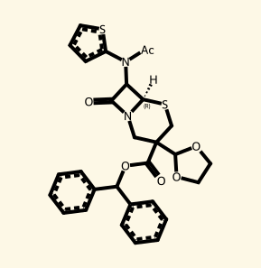 CC(=O)N(c1cccs1)C1C(=O)N2CC(C(=O)OC(c3ccccc3)c3ccccc3)(C3OCCO3)CS[C@H]12